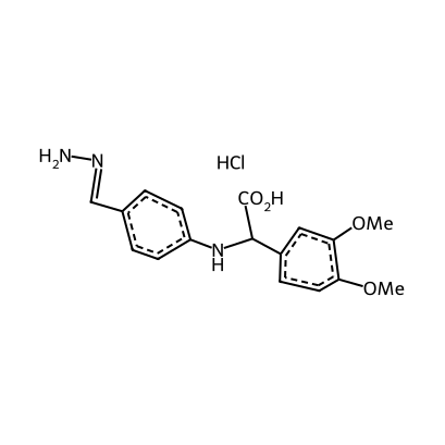 COc1ccc(C(Nc2ccc(C=NN)cc2)C(=O)O)cc1OC.Cl